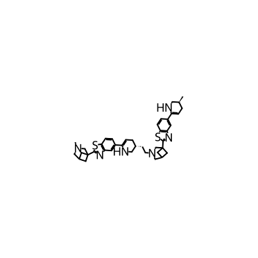 C[C@H]1CC=C(c2ccc3sc(C45CC(CN(CC[C@H]6CC=C(c7ccc8sc(C9%10CC(CN(C)C9)C%10)nc8c7)NC6)C4)C5)nc3c2)NC1